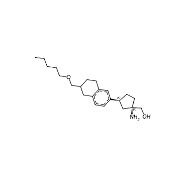 CCCCCOCC1CCc2cc([C@H]3CC[C@](N)(CO)C3)ccc2C1